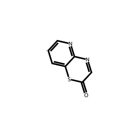 O=c1cnc2nc[c]cc2s1